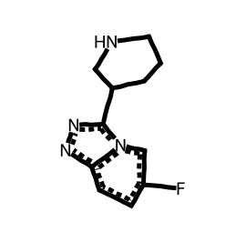 Fc1ccc2nnc(C3CCCNC3)n2c1